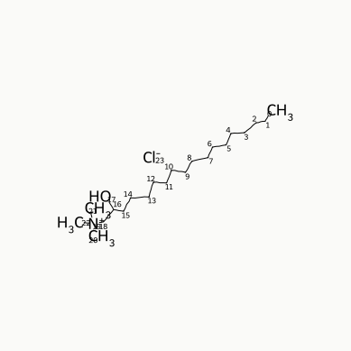 CCCCCCCCCCCCCCCCC(O)C[N+](C)(C)C.[Cl-]